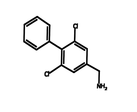 NCc1cc(Cl)c(-c2ccccc2)c(Cl)c1